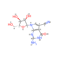 N#Cc1cn(C2O[C@H](CO)[C@@H](O)[C@H]2O)c2nc(N)[nH]c(=O)c12